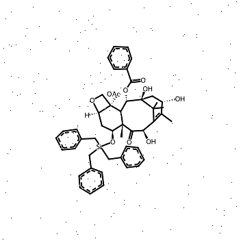 CC(=O)O[C@@]12CO[C@@H]1C[C@H](O[Si](Cc1ccccc1)(Cc1ccccc1)Cc1ccccc1)[C@@]1(C)C(=O)[C@H](O)C3=C(C)[C@@H](O)C[C@@](O)([C@@H](OC(=O)c4ccccc4)C12)C3(C)C